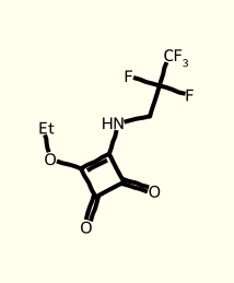 CCOc1c(NCC(F)(F)C(F)(F)F)c(=O)c1=O